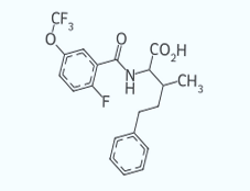 CC(CCc1ccccc1)C(NC(=O)c1cc(OC(F)(F)F)ccc1F)C(=O)O